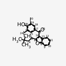 CC(C)(C)CCc1oc2ccccc2c1C(=O)c1cc(I)c(O)c(I)c1